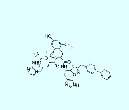 Cc1cc(O)cc(C)c1C[C@H](NC(=O)[C@@H](CCCn1ccnc1N)OC(N)=O)C(=O)N[C@@H](Cc1c[nH]cn1)c1nc(Cc2ccc(-c3ccccc3)cc2)no1